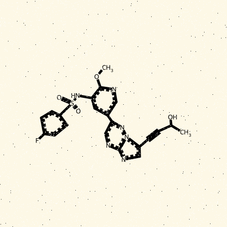 COc1ncc(-c2cnc3ncc(C#CC(C)O)n3n2)cc1NS(=O)(=O)c1ccc(F)cc1